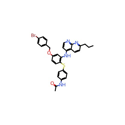 CCCc1ccc2c(Nc3cc(OCc4ccc(Br)cc4)ccc3Sc3ccc(NC(C)=O)cc3)ccnc2n1